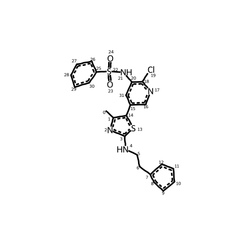 Cc1nc(NCCc2ccccc2)sc1-c1cnc(Cl)c(NS(=O)(=O)c2ccccc2)c1